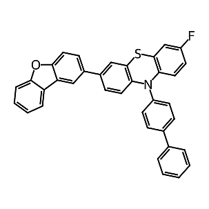 Fc1ccc2c(c1)Sc1cc(-c3ccc4oc5ccccc5c4c3)ccc1N2c1ccc(-c2ccccc2)cc1